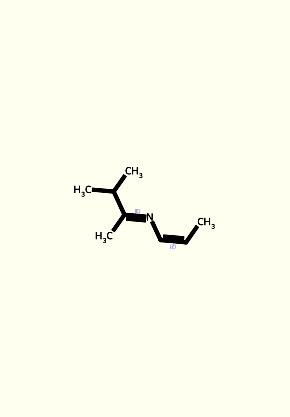 C/C=C\N=C(/C)C(C)C